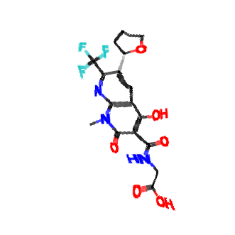 Cn1c(=O)c(C(=O)NCC(=O)O)c(O)c2cc([C@@H]3CCCO3)c(C(F)(F)F)nc21